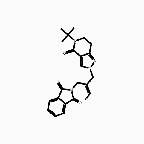 CC(C)(C)N1CCc2nn(C/C(=C/F)CN3C(=O)c4ccccc4C3=O)cc2C1=O